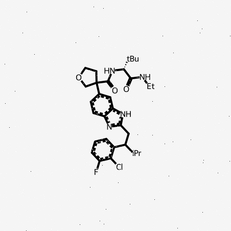 CCNC(=O)[C@H](NC(=O)C1(c2ccc3nc(CC(c4cccc(F)c4Cl)C(C)C)[nH]c3c2)CCOC1)C(C)(C)C